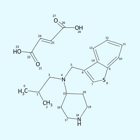 CC(C)CN(Cc1csc2ccccc12)C1CCNCC1.O=C(O)/C=C/C(=O)O